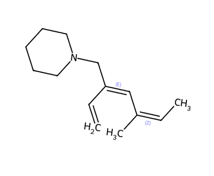 C=C/C(=C\C(C)=C/C)CN1CCCCC1